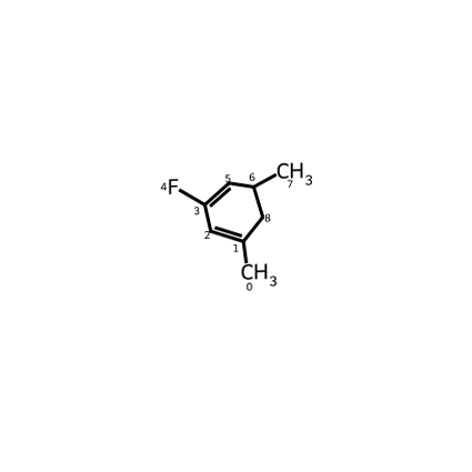 CC1=CC(F)=CC(C)C1